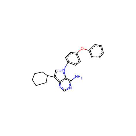 Nc1ncnc2c(C3CCCCC3)cn(-c3ccc(Oc4ccccc4)cc3)c12